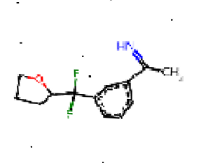 CC(=N)c1cccc(C(F)(F)C2CCCO2)c1